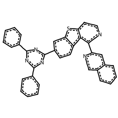 c1ccc(-c2nc(-c3ccccc3)nc(-c3ccc4c(c3)sc3ccnc(-c5cc6ccccc6cn5)c34)n2)cc1